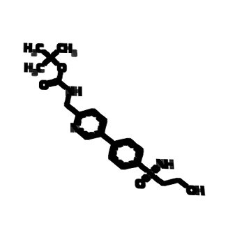 CC(C)(C)OC(=O)NCc1ccc(-c2ccc(S(=N)(=O)CCO)cc2)cn1